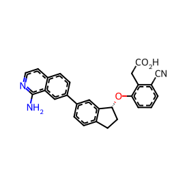 N#Cc1cccc(O[C@@H]2CCc3ccc(-c4ccc5ccnc(N)c5c4)cc32)c1CC(=O)O